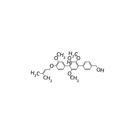 COc1cc(-c2c(OC)cc(-c3ccc(CO)cc3)c(OC)c2O)ccc1OCC=C(C)C